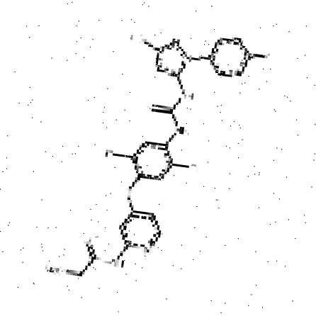 COCC(=O)Nc1cc(Oc2cc(Cl)c(NC(=O)Nc3cc(O)nn3-c3ccc(C)cc3)cc2Cl)ccn1